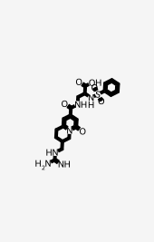 N=C(N)NCC1CCc2cc(C(=O)NCC(NS(=O)(=O)c3ccccc3)C(=O)O)cc(=O)n2C1